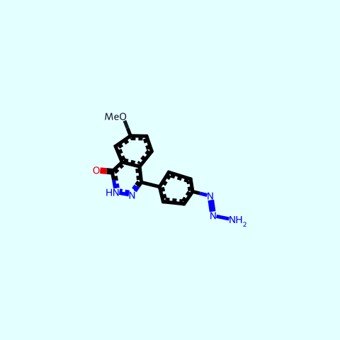 COc1ccc2c(-c3ccc(N=NN)cc3)n[nH]c(=O)c2c1